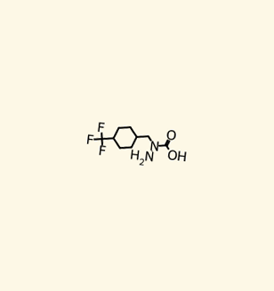 NN(CC1CCC(C(F)(F)F)CC1)C(=O)O